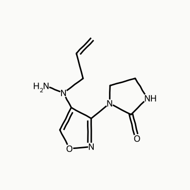 C=CCN(N)c1conc1N1CCNC1=O